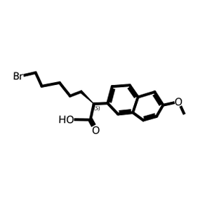 COc1ccc2cc([C@H](CCCCCBr)C(=O)O)ccc2c1